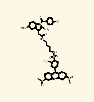 CCN(CC)c1ccc2c(-c3ccc(S(=O)(=O)NCCCCNC(=O)Cc4c(C)n(C(=O)c5ccc(Cl)cc5)c5ccc(OC)cc45)c(S(=O)(=O)O)c3)c3ccc(=[N+](CC)CC)cc-3oc2c1